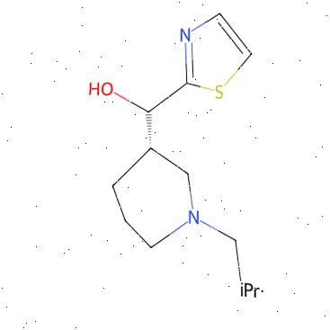 C[C](C)CN1CCC[C@H](C(O)c2nccs2)C1